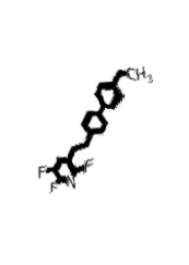 CCc1ccc(-c2ccc(CCc3cc(F)c(F)nc3F)cc2)cc1